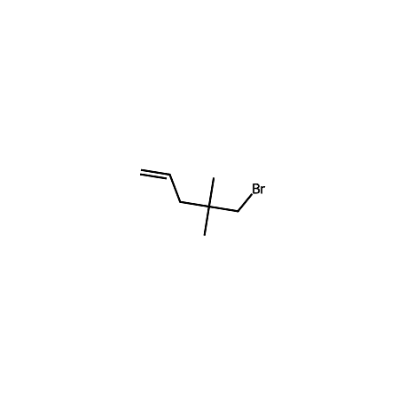 C=CCC(C)(C)CBr